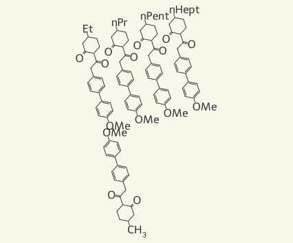 CCC1CCC(C(=O)Cc2ccc(-c3ccc(OC)cc3)cc2)C(=O)C1.CCCC1CCC(C(=O)Cc2ccc(-c3ccc(OC)cc3)cc2)C(=O)C1.CCCCCC1CCC(C(=O)Cc2ccc(-c3ccc(OC)cc3)cc2)C(=O)C1.CCCCCCCC1CCC(C(=O)Cc2ccc(-c3ccc(OC)cc3)cc2)C(=O)C1.COc1ccc(-c2ccc(CC(=O)C3CCC(C)CC3=O)cc2)cc1